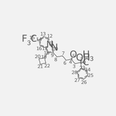 C[C@](O)(CC(=O)CCCc1nn2ccc(C(F)(F)F)cc2c1C1CCC1)c1ccccc1